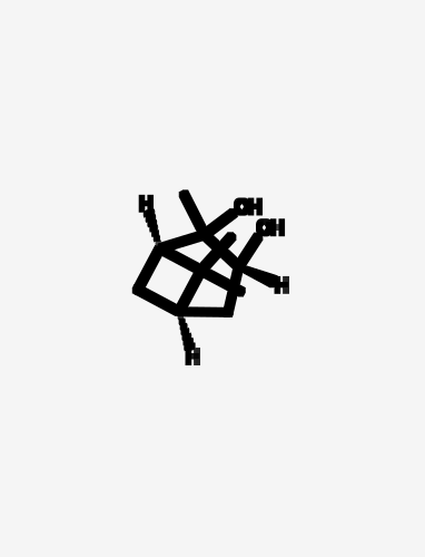 CC1(C)[C@H]2C[C@@H](O)C(C)(O)[C@@H]1C2